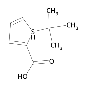 CC(C)(C)[SH]1C=CC=C1C(=O)O